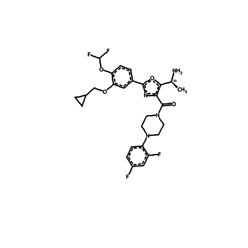 C[C@H](N)c1oc(-c2ccc(OC(F)F)c(OCC3CC3)c2)nc1C(=O)N1CCN(c2ccc(F)cc2F)CC1